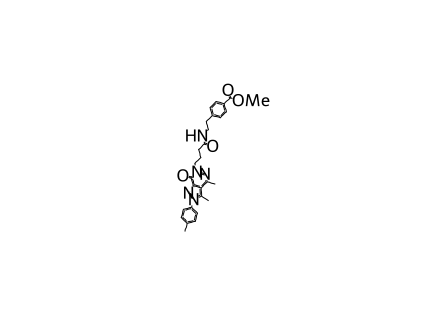 COC(=O)c1ccc(CCNC(=O)CCCn2nc(C)c3c(C)n(-c4ccc(C)cc4)nc3c2=O)cc1